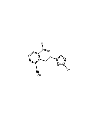 C#Cc1cccc([N+](=O)[O-])c1COc1ccn(O)n1